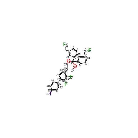 FCc1cccc(C2(c3cccc(CF)c3)OCC(c3ccc(-c4ccc(I)cc4)c(F)c3F)CO2)c1